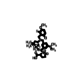 COc1ccc(Cl)c(CN(Cc2cc(CN3C(C(=O)O)CCS3(=O)=O)cc(N(C)C)c2)[C@H](CN(C)C)CC(C)(C)C)c1F